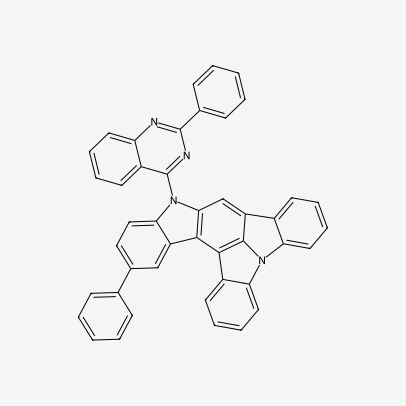 c1ccc(-c2ccc3c(c2)c2c4c5ccccc5n5c6ccccc6c(cc2n3-c2nc(-c3ccccc3)nc3ccccc23)c45)cc1